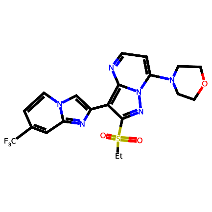 CCS(=O)(=O)c1nn2c(N3CCOCC3)ccnc2c1-c1cn2ccc(C(F)(F)F)cc2n1